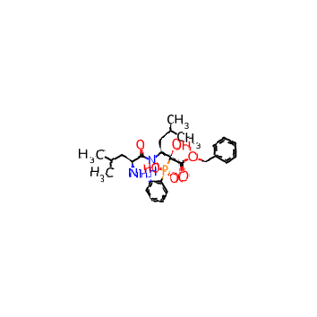 CC(C)C[C@H](NC(=O)[C@@H](N)CC(C)C)[C@](O)(C(=O)OCc1ccccc1)P(=O)(O)c1ccccc1